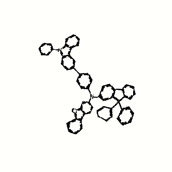 C1=CC(C2(c3ccccc3)c3ccccc3-c3ccc(N(c4ccc(-c5ccc6c(c5)c5ccccc5n6-c5ccccc5)cc4)c4ccc5c(c4)oc4ccccc45)cc32)=CCC1